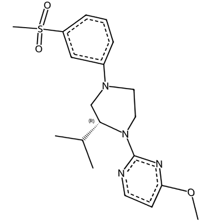 COc1ccnc(N2CCN(c3cccc(S(C)(=O)=O)c3)C[C@H]2C(C)C)n1